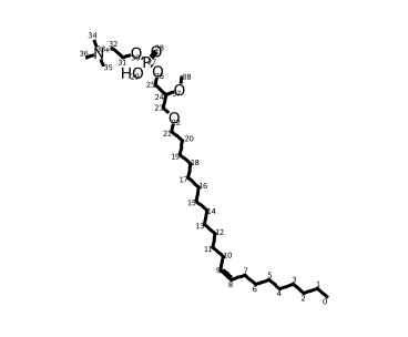 CCCCCCCC/C=C\CCCCCCCCCCCCOCC(COP(=O)(O)OCC[N+](C)(C)C)OC